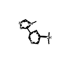 Cn1cnnc1-c1cncc([SH](C)C)c1